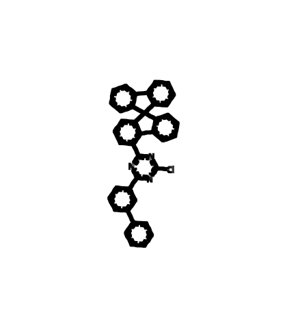 Clc1nc(-c2cccc(-c3ccccc3)c2)nc(-c2cccc3c2-c2ccccc2C32c3ccccc3-c3ccccc32)n1